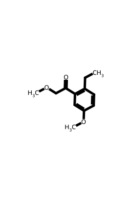 CCc1ccc(OC)cc1C(=O)COC